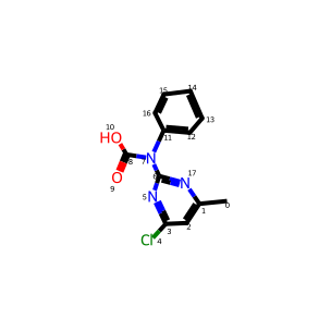 Cc1cc(Cl)nc(N(C(=O)O)c2ccccc2)n1